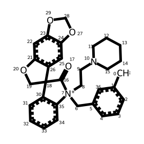 [CH]c1cccc(C[N+]2(CCN3CCCCC3)C(=O)C3(COc4cc5c(cc43)OCO5)c3ccccc32)c1